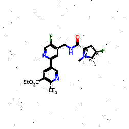 CCOC(=O)c1cc(-c2cc(CNC(=O)[C@@H]3C[C@@H](F)[C@H](C)N3C)c(F)cn2)cnc1C(F)(F)F